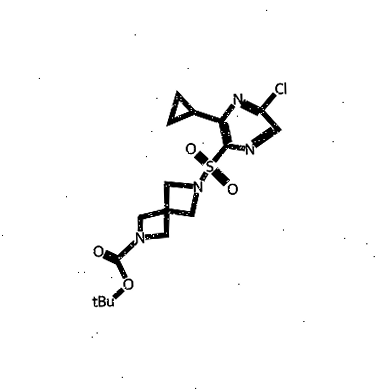 CC(C)(C)OC(=O)N1CC2(C1)CN(S(=O)(=O)c1ncc(Cl)nc1C1CC1)C2